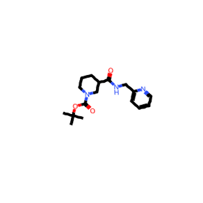 CC(C)(C)OC(=O)N1CCCC(C(=O)NCc2ccccn2)C1